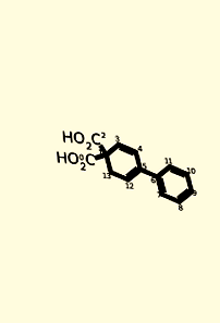 O=C(O)C1(C(=O)O)C=CC(c2ccccc2)=CC1